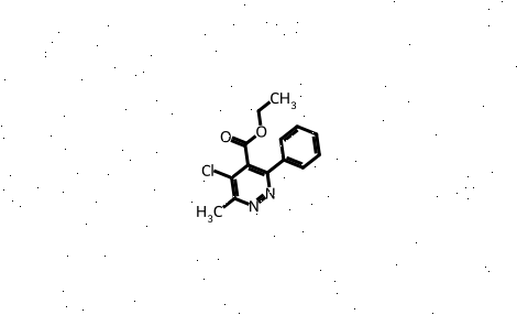 CCOC(=O)c1c(-c2ccccc2)nnc(C)c1Cl